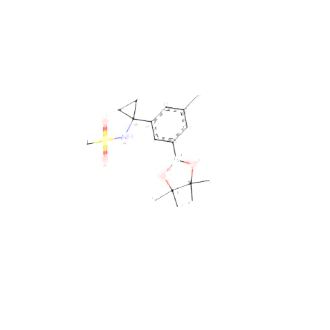 Cc1cc(B2OC(C)(C)C(C)(C)O2)cc(C2(NS(C)(=O)=O)CC2)c1